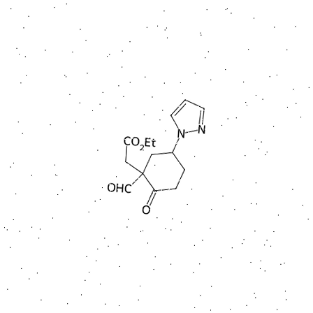 CCOC(=O)CC1(C=O)CC(n2cccn2)CCC1=O